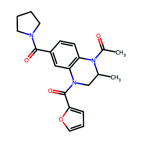 CC(=O)N1c2ccc(C(=O)N3CCCC3)cc2N(C(=O)c2ccco2)CC1C